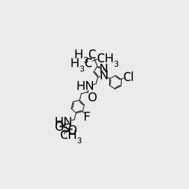 CC(C)(C)c1cc(CNC(=O)Cc2ccc(CNS(C)(=O)=O)c(F)c2)n(-c2cccc(Cl)c2)n1